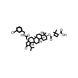 CC(C)C1=C2[C@H]3CC[C@@H]4[C@@]5(C)CC[C@H](OC(=O)[C@H]6C[C@@H](C(=O)O)C6(C)C)C(C)(C)[C@@H]5CC[C@@]4(C)[C@]3(C)CC[C@@]2(CC(=O)NCc2cccc(Cl)c2)CC1=O